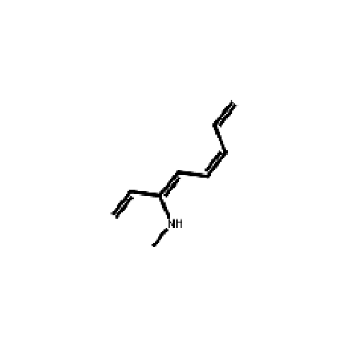 C=C/C=C\C=C(\C=C)NC